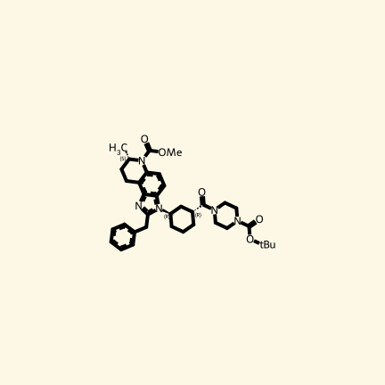 COC(=O)N1c2ccc3c(nc(Cc4ccccc4)n3[C@@H]3CCC[C@@H](C(=O)N4CCN(C(=O)OC(C)(C)C)CC4)C3)c2CC[C@@H]1C